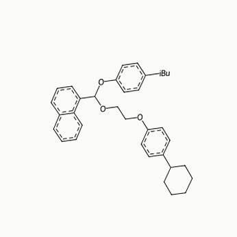 CCC(C)c1ccc(OC(OCCOc2ccc(C3CCCCC3)cc2)c2cccc3ccccc23)cc1